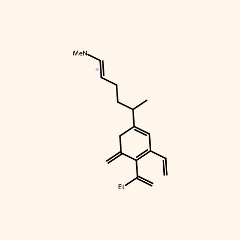 C=CC1=C(C(=C)CC)C(=C)CC(C(C)CC/C=C/NC)=C1